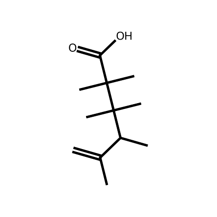 C=C(C)C(C)C(C)(C)C(C)(C)C(=O)O